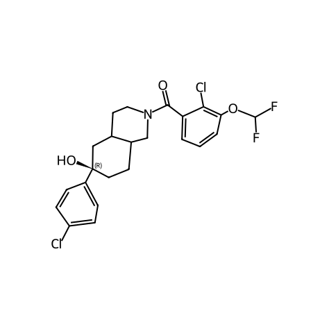 O=C(c1cccc(OC(F)F)c1Cl)N1CCC2C[C@@](O)(c3ccc(Cl)cc3)CCC2C1